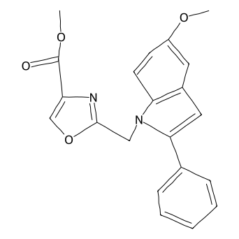 COC(=O)c1coc(Cn2c(-c3ccccc3)cc3cc(OC)ccc32)n1